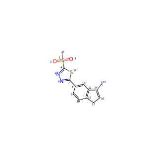 CS(=O)(=O)c1nnc(-c2ccc3c(c2)C(I)=CC3)s1